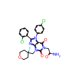 NC(=O)Cn1c(=O)c2c(nc(-c3ccccc3Cl)n2-c2ccc(Cl)cc2)n(CC2(F)CCOCC2)c1=O